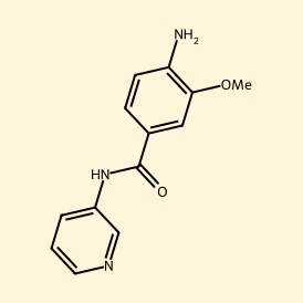 COc1cc(C(=O)Nc2cccnc2)ccc1N